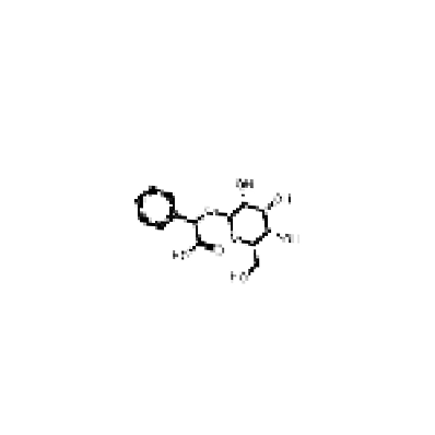 O=C(O)C(OC1O[C@H](CO)[C@@H](O)[C@H](O)[C@H]1O)c1ccccc1